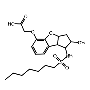 CCCCCCCS(=O)(=O)NC1C(O)CC2Oc3c(OCC(=O)O)cccc3C21